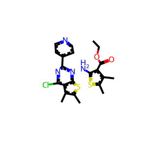 CCOC(=O)c1c(N)sc(C)c1C.Cc1sc2nc(-c3ccncc3)nc(Cl)c2c1C